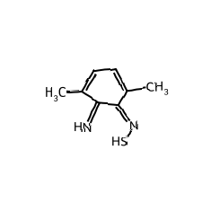 CC1=CC=C(C)/C(=N/S)C1=N